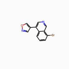 Brc1cccc2c(-c3cnoc3)cncc12